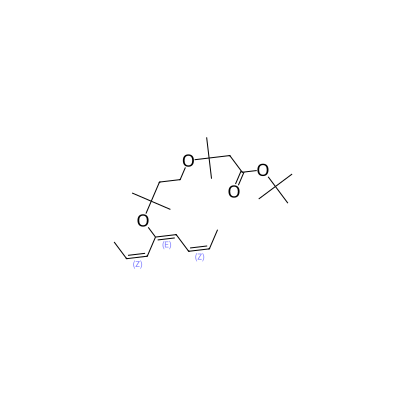 C\C=C/C=C(\C=C/C)OC(C)(C)CCOC(C)(C)CC(=O)OC(C)(C)C